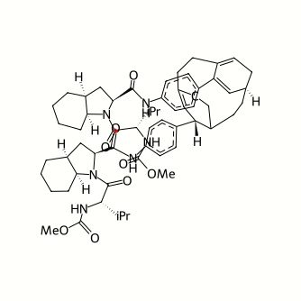 COC(=O)N[C@H](C(=O)N1[C@H](C(=O)Nc2ccc(C3=C[C@H]4CC=C3CCC3=C[C@@H](c5ccc(NC(=O)[C@@H]6C[C@@H]7CCCC[C@@H]7N6C(=O)[C@@H](NC(=O)OC)C(C)C)cc5)C(CC3)CC4)cc2)C[C@@H]2CCCC[C@@H]21)C(C)C